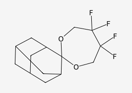 FC1(F)COC2(OCC1(F)F)C1CC3CC(C1)CC2C3